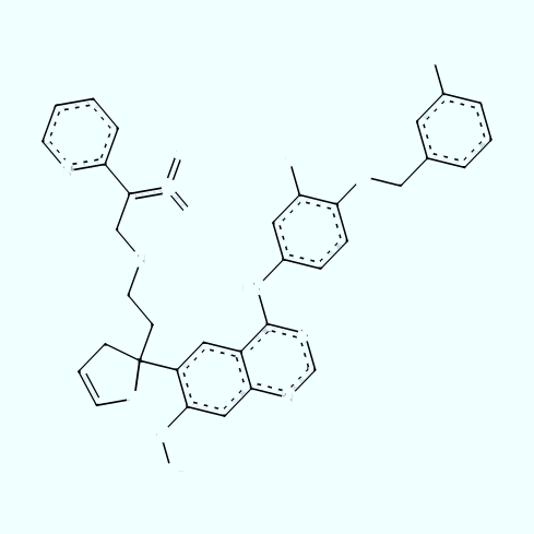 COc1cc2ncnc(Nc3ccc(OCc4cccc(F)c4)c(Cl)c3)c2cc1C1(CCNCC(c2ccccn2)=S(=O)=O)CC=CO1